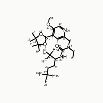 CCN(Cc1cc(B2OC(C)(C)C(C)(C)O2)c(OC)cn1)C(=O)NC(CCC(F)(F)F)C(F)(F)F